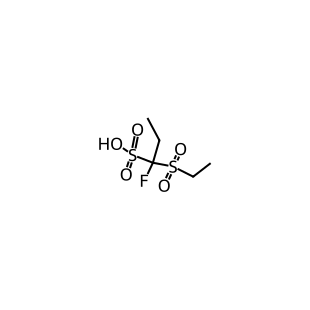 CCC(F)(S(=O)(=O)O)S(=O)(=O)CC